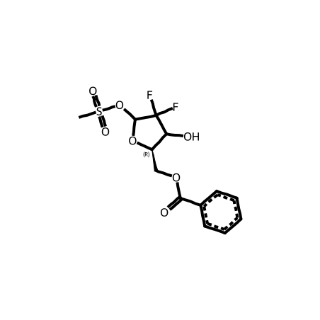 CS(=O)(=O)OC1O[C@H](COC(=O)c2ccccc2)C(O)C1(F)F